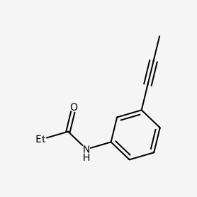 CC#Cc1cccc(NC(=O)CC)c1